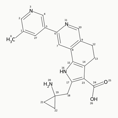 Cc1cncc(-c2cc3c(cn2)CCc2c-3[nH]c(CC3(N)CC3)c2C(=O)O)c1